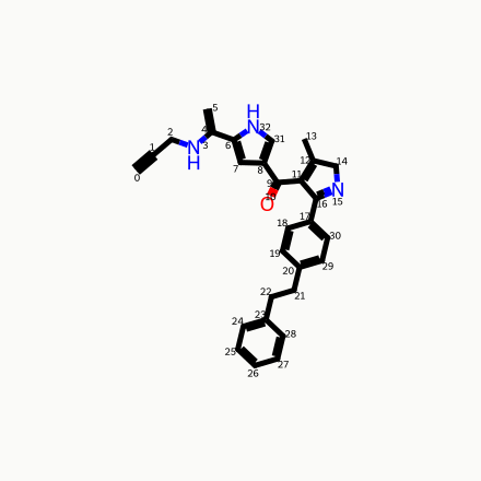 C#CCNC(=C)c1cc(C(=O)C2=C(C)CN=C2c2ccc(CCc3ccccc3)cc2)c[nH]1